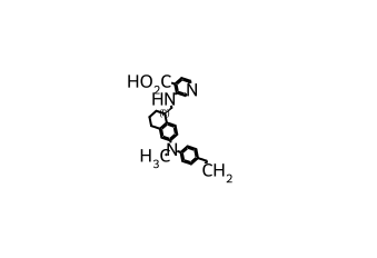 C=Cc1ccc(N(C)c2ccc3c(c2)CCC[C@H]3CNc2cnccc2C(=O)O)cc1